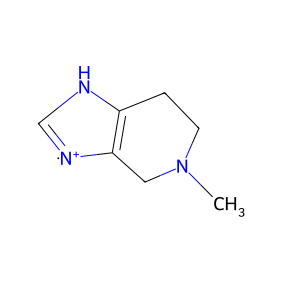 CN1CCC2=C(C1)[N+]=CN2